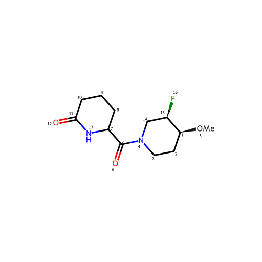 CO[C@H]1CCN(C(=O)C2CCCC(=O)N2)C[C@H]1F